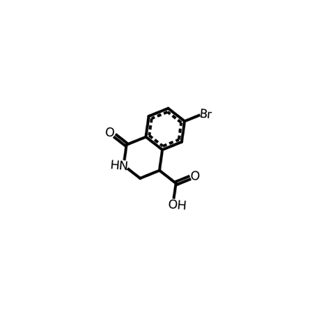 O=C1NCC(C(=O)O)c2cc(Br)ccc21